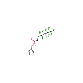 O=C(CCC(F)(F)C(F)(F)C(F)(F)C(F)(F)F)OCc1ccsc1